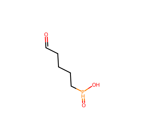 O=CCCCC[PH](=O)O